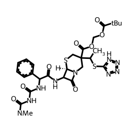 CNC(=O)NC(=O)NC(C(=O)NC1C(=O)N2CC(C(=O)OCOC(=O)C(C)(C)C)(C(C)Sc3nnn[nH]3)CS[C@H]12)c1ccccc1